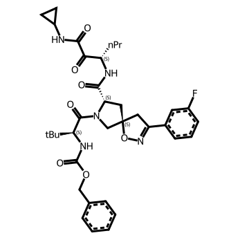 CCC[C@H](NC(=O)[C@@H]1C[C@]2(CC(c3cccc(F)c3)=NO2)CN1C(=O)[C@@H](NC(=O)OCc1ccccc1)C(C)(C)C)C(=O)C(=O)NC1CC1